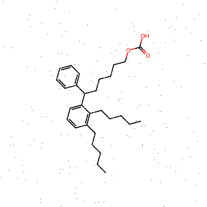 CCCCCc1cccc(C(CCCCCOC(=O)O)c2ccccc2)c1CCCCC